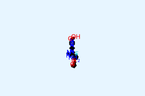 Nc1ncnc2c1c(-c1cc(OCC3CCCO3)ccc1F)cn2C1CC(N2CCN(C(=O)CO)CC2)C1